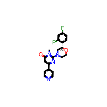 Cn1c(N2CCO[C@@H](c3ccc(F)cc3F)C2)nc(-c2ccncc2)cc1=O